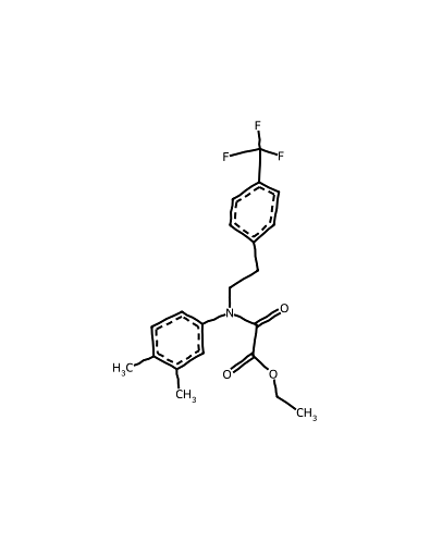 CCOC(=O)C(=O)N(CCc1ccc(C(F)(F)F)cc1)c1ccc(C)c(C)c1